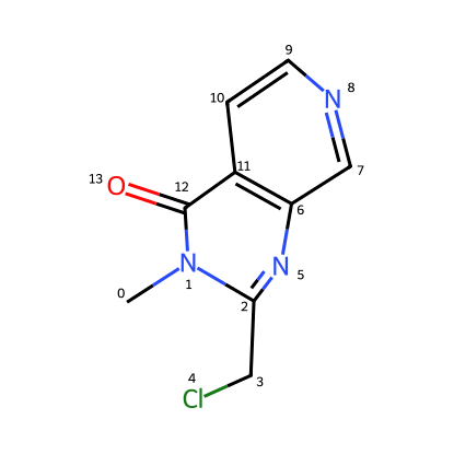 Cn1c(CCl)nc2cnccc2c1=O